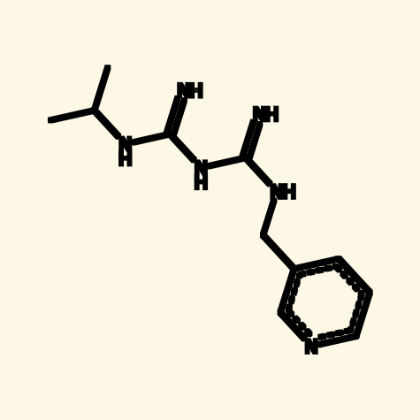 CC(C)NC(=N)NC(=N)NCc1cccnc1